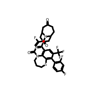 C=C(F)C(=O)N1C2CCC(=O)CC1CN(c1nc(=O)n3c4c(c(-c5ccc(F)cc5F)c(C(F)(F)F)cc14)SCCC3)C2